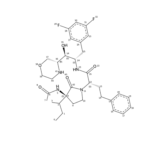 CCC(C)[C@@]1(NC(C)=O)CCN([C@@H](CCc2ccccc2)C(=O)N[C@@H](Cc2cc(F)cc(F)c2)[C@H](O)[C@H]2COCCN2)C1=O